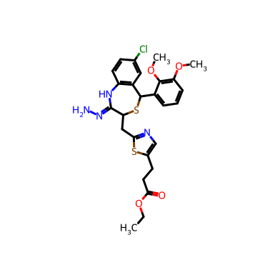 CCOC(=O)CCc1cnc(CC2SC(c3cccc(OC)c3OC)c3cc(Cl)ccc3NC2=NN)s1